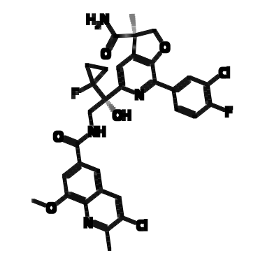 COc1cc(C(=O)NC[C@](O)(c2cc3c(c(-c4ccc(F)c(Cl)c4)n2)OC[C@]3(C)C(N)=O)C2(F)CC2)cc2cc(Cl)c(C)nc12